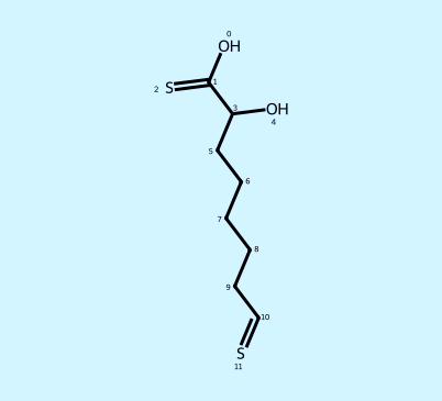 OC(=S)C(O)CCCCCC=S